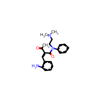 CC(=O)C(=Cc1ccccc1N)C(=O)N(CCN(C)C)c1ccccc1